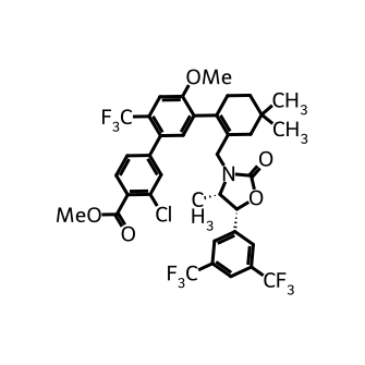 COC(=O)c1ccc(-c2cc(C3=C(CN4C(=O)O[C@H](c5cc(C(F)(F)F)cc(C(F)(F)F)c5)[C@@H]4C)CC(C)(C)CC3)c(OC)cc2C(F)(F)F)cc1Cl